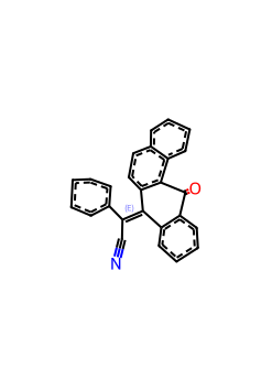 N#C/C(=C1\c2ccccc2C(=O)c2c1ccc1ccccc21)c1ccccc1